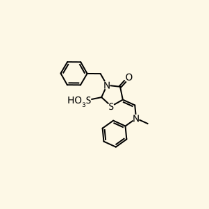 CN(C=C1SC(S(=O)(=O)O)N(Cc2ccccc2)C1=O)c1ccccc1